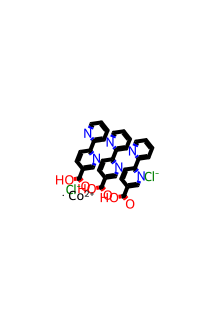 O=C(O)c1ccc(-c2ccccn2)nc1.O=C(O)c1ccc(-c2ccccn2)nc1.O=C(O)c1ccc(-c2ccccn2)nc1.[Cl-].[Cl-].[Co+2]